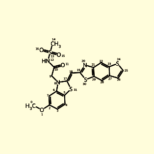 COc1ccc2c(c1)N(CC(=O)NS(C)(=O)=O)/C(=C/c1nc3cc4sccc4cc3s1)S2